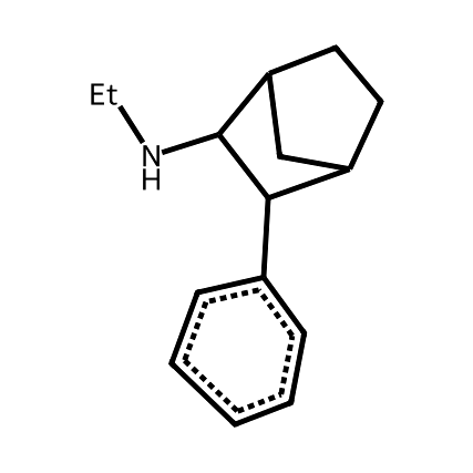 CCNC1C2CCC(C2)C1c1ccccc1